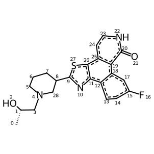 C[C@H](O)CN1CCCC(c2nc3c4ccc(F)cc4c4c(=O)[nH]ccc4c3s2)C1